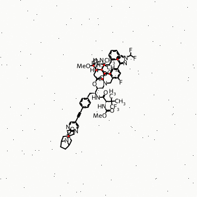 COC(=O)N[C@H](C(=O)N[C@@H](Cc1ccc(C#Cc2cnc(N3CC4CCC(C3)N4C3COC3)nc2)cc1)[C@H](CN(Cc1c(F)cc(-c2ccn(C(F)F)n2)cc1F)NC(=O)[C@@H](NC(=O)OC)C(C)(C)C(F)(F)F)OC(=O)CC(C)C(=O)[C@@H](N)Cc1ccccc1)C(C)(C)C(F)(F)F